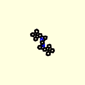 c1ccc(C2(c3ccccc3)c3ccccc3-c3c2ccc2c4cccc5c6cc7c(cc6n(c32)c54)c2cccc3c4ccc5c(c4n7c23)-c2ccccc2C5(c2ccccc2)c2ccccc2)cc1